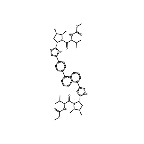 COC(=O)N[C@H](C(=O)N1[C@H](C)[C@H](C)C[C@H]1c1nc(-c2cccc3c(-c4ccc(-c5cnc([C@@H]6C[C@@H](C)[C@@H](C)N6C(=O)[C@@H](NC(=O)OC)C(C)C)[nH]5)cc4)cccc23)c[nH]1)C(C)C